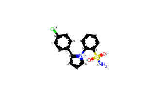 NS(=O)(=O)c1ccccc1-n1cccc1-c1ccc(Cl)cc1